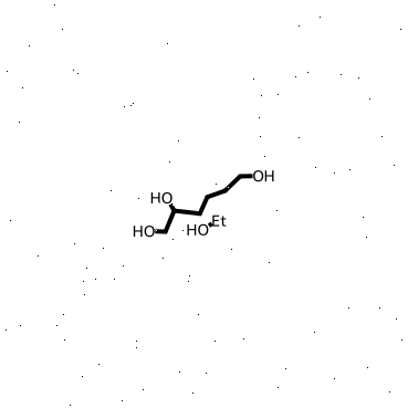 CCO.OCCCCC(O)CO